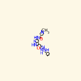 CN1CCC(C(=O)Nc2cnc3[nH]cc(C=C4N=C(NCc5ccccc5)NC4=O)c3c2)CC1